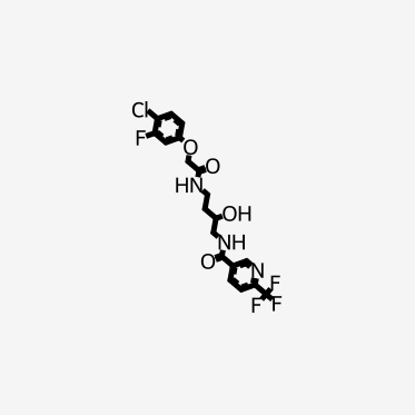 O=C(COc1ccc(Cl)c(F)c1)NCCC(O)CNC(=O)c1ccc(C(F)(F)F)nc1